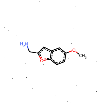 COc1ccc2oc(CN)cc2c1